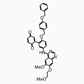 COCCOc1cc2ncnc(Nc3ccc(OCc4ccc(OCc5ccccc5)cc4)c(C4=CC(=O)C=CC4=O)c3)c2cc1OC